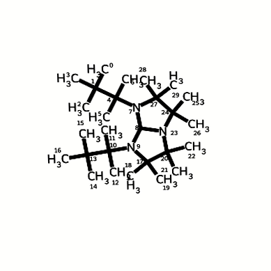 CC(C)(C)C(C)(C)N1C2N(C(C)(C)C(C)(C)C)C(C)(C)C(C)(C)N2C(C)(C)C1(C)C